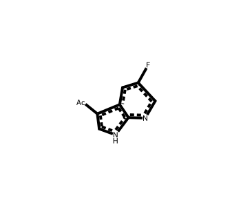 CC(=O)c1c[nH]c2ncc(F)cc12